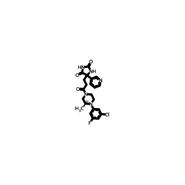 C[C@H]1CN(C(=O)CCC2(c3cccnc3)NC(=O)NC2=O)CCN1c1cc(F)cc(Cl)c1